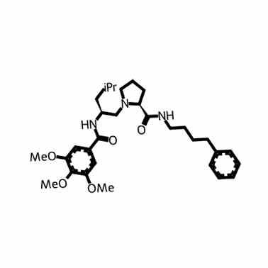 COc1cc(C(=O)N[C@@H](CC(C)C)CN2CCC[C@H]2C(=O)NCCCCc2ccccc2)cc(OC)c1OC